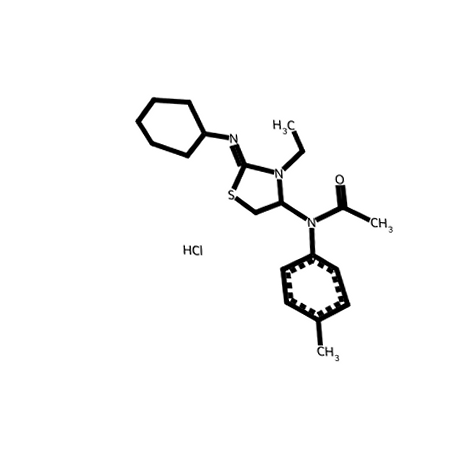 CCN1C(=NC2CCCCC2)SCC1N(C(C)=O)c1ccc(C)cc1.Cl